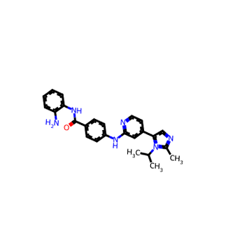 Cc1ncc(-c2ccnc(Nc3ccc(C(=O)Nc4ccccc4N)cc3)c2)n1C(C)C